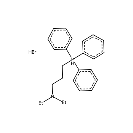 Br.CCN(CC)CCC[PH](c1ccccc1)(c1ccccc1)c1ccccc1